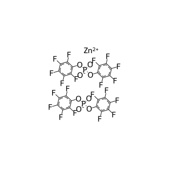 O=P([O-])(Oc1c(F)c(F)c(F)c(F)c1F)Oc1c(F)c(F)c(F)c(F)c1F.O=P([O-])(Oc1c(F)c(F)c(F)c(F)c1F)Oc1c(F)c(F)c(F)c(F)c1F.[Zn+2]